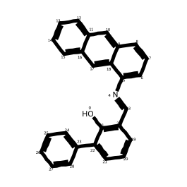 Oc1c(/C=N/c2cccc3cc4ccccc4cc23)cccc1-c1ccccc1